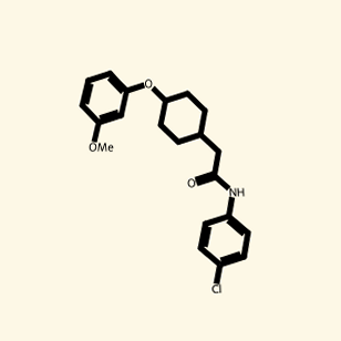 COc1cccc(OC2CCC(CC(=O)Nc3ccc(Cl)cc3)CC2)c1